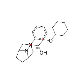 O[C@@H](COC1CCCCC1)CN1C2CCC1CN(c1ccccc1)C2